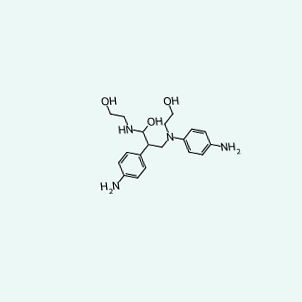 Nc1ccc(C(CN(CCO)c2ccc(N)cc2)C(O)NCCO)cc1